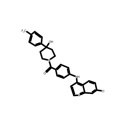 O=C(c1ccc(Nc2ccnc3cc(Cl)ccc23)cc1)N1CCC(O)(c2ccc(C(F)(F)F)cc2)CC1